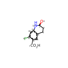 O=C1CCc2cc(C(=O)O)c(F)cc2N1